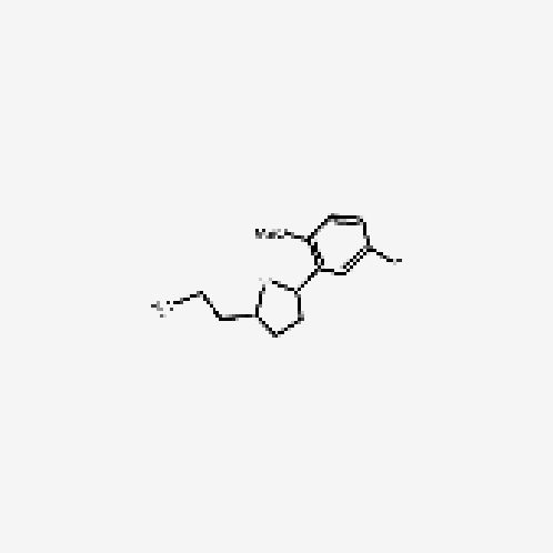 COc1ccc(F)cc1C1CC[C@@H](CCN)O1